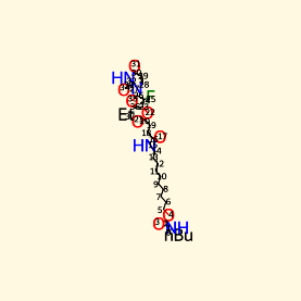 CCCCNC(=O)OCCCCCCCCCCNC(=O)CCC(=O)O[C@@H]1C(F)[C@H](n2ccc(=O)[nH]c2=O)O[C@@H]1CC